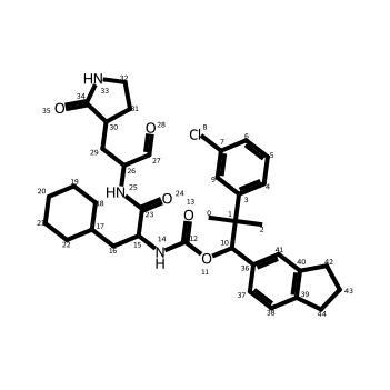 CC(C)(c1cccc(Cl)c1)C(OC(=O)NC(CC1CCCCC1)C(=O)NC(C=O)CC1CCNC1=O)c1ccc2c(c1)CCC2